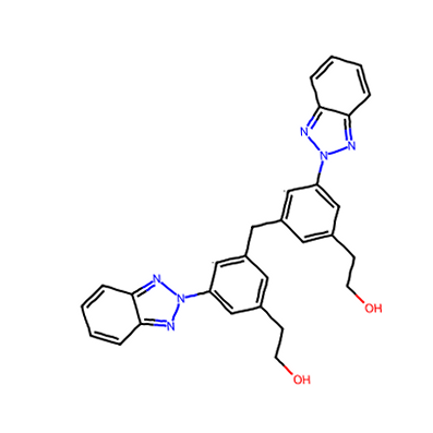 OCCc1cc(Cc2[c]c(-n3nc4ccccc4n3)cc(CCO)c2)[c]c(-n2nc3ccccc3n2)c1